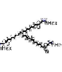 CCCCCC/C=C\COC(=O)CCCCCCCN(CCCCCCCC(=O)OC/C=C\CCCCCC)CCCNCCCCCCCC(=C=O)OC/C=C\CCCCCC